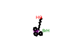 Br.OCCCCCCCCC[PH](c1ccccc1)(c1ccccc1)c1ccccc1